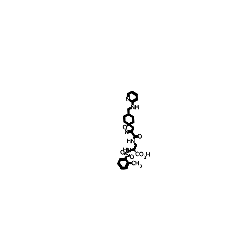 Cc1ccccc1S(=O)(=O)N[C@@H](CNC(=O)C1=NOC2(CCC(CNc3ccccn3)CC2)C1)C(=O)O